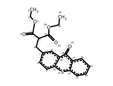 CCOC(=O)C(Cc1ccc2sc3ccccc3c(=O)c2c1)C(=O)OCC